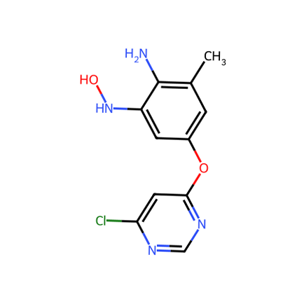 Cc1cc(Oc2cc(Cl)ncn2)cc(NO)c1N